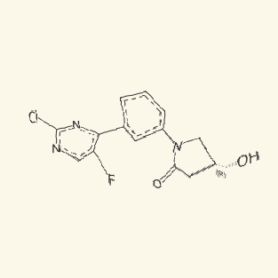 O=C1C[C@@H](O)CN1c1cccc(-c2nc(Cl)ncc2F)c1